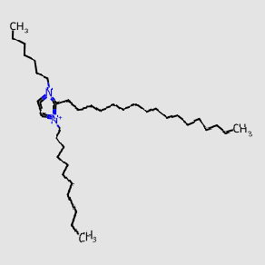 CCCCCCCCCCCCCCCCCc1n(CCCCCCC)cc[n+]1CCCCCCCCCCC